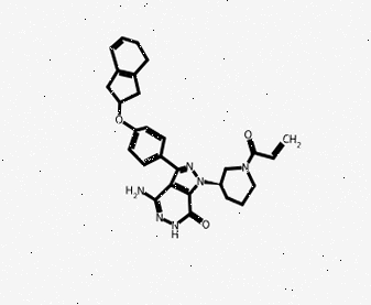 C=CC(=O)N1CCC[C@@H](n2nc(-c3ccc(OC4CC5=C(CCC=C5)C4)cc3)c3c(N)n[nH]c(=O)c32)C1